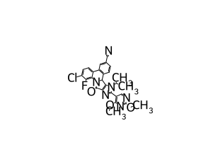 COc1ncc(-c2nc3c(n2C(C)C)C2c4ccc(C#N)cc4-c4ccc(Cl)c(F)c4N2C3=O)c(OC)n1